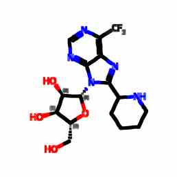 OC[C@H]1O[C@@H](n2c(C3CCCCN3)nc3c(C(F)(F)F)ncnc32)[C@H](O)[C@@H]1O